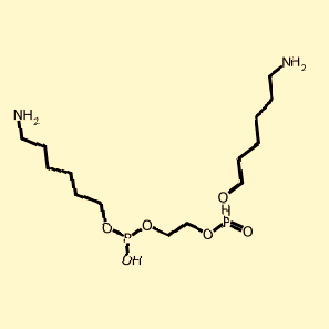 NCCCCCCOP(O)OCCO[PH](=O)OCCCCCCN